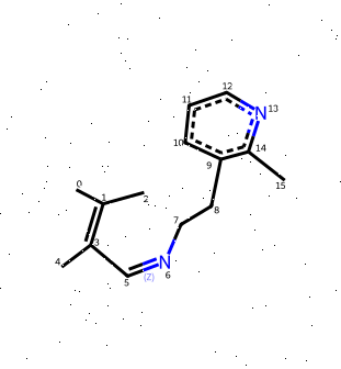 CC(C)=C(C)/C=N\CCc1cccnc1C